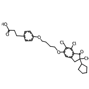 CC1(C2CCCC2)Cc2cc(OCCCCOc3ccc(CCC(=O)O)cc3)c(Cl)c(Cl)c2C1=O